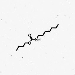 CCCCCCCNC(=O)OCCCC